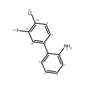 Nc1ccccc1-c1ccc(Cl)c(F)c1